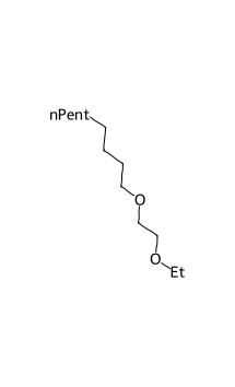 [CH2]COCCOCCCCCCCCC